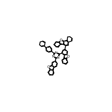 C1=CC(c2ccc(-c3nc(-c4ccc5c(c4)oc4ccccc45)nc(-c4cc(-c5cc6c(c7oc8ccccc8c57)CCC=C6)cc5oc6ccccc6c45)n3)cc2)=CCC1